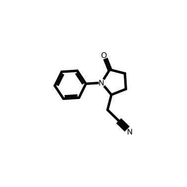 N#CCC1CCC(=O)N1c1ccccc1